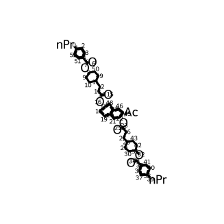 CCCc1ccc(C(=O)OC2CCC(CCC(=O)Oc3ccc4cc(OC(=O)CCC5CCC(OC(=O)c6ccc(CCC)cc6)CC5)c(C(C)=O)cc4c3)CC2)cc1